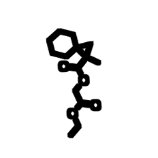 CCOC(=O)COC(=O)C1(C)CC12CCCCC2